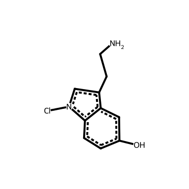 NCCc1cn(Cl)c2ccc(O)cc12